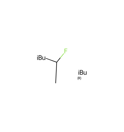 CCC(C)C(C)(F)[C@H](C)CC